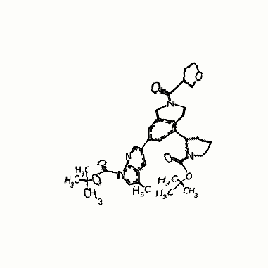 Cc1cn(C(=O)OC(C)(C)C)c2ncc(-c3cc4c(c(C5CCCN5C(=O)OC(C)(C)C)c3)CCN(C(=O)C3CCOC3)C4)cc12